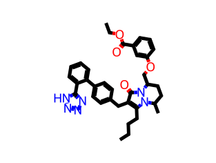 CCCCc1c(Cc2ccc(-c3ccccc3-c3nnn[nH]3)cc2)c(=O)n2n1C(C)CCC2COc1cccc(C(=O)OCC)c1